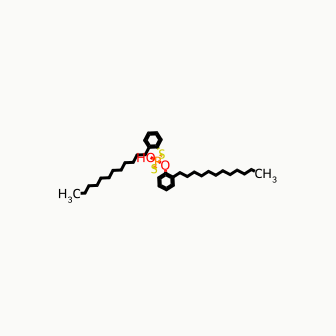 CCCCCCCCCCCCc1ccccc1OP(O)(=S)Sc1ccccc1CCCCCCCCCCCC